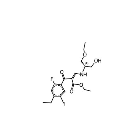 CCOC[C@@H](CO)NC=C(C(=O)OCC)C(=O)c1cc(I)c(CC)cc1F